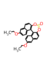 CCOc1ccc2c3c(ccc2c1)OS(=O)Oc1ccc2cc(OCC)ccc2c1-3